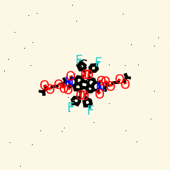 C=C(C)C(=O)OCCOC(=O)C(C)N1C(=O)c2cc(Oc3ccc(F)cc3)c3c4c(Oc5ccc(F)cc5)cc5c6c(cc(Oc7ccc(F)cc7)c(c7c(Oc8ccc(F)cc8)cc(c2c37)C1=O)c64)C(=O)N(C(C)C(=O)OCCOC(=O)C(=C)C)C5=O